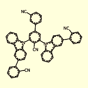 N#Cc1cccc(-c2cc(-n3c4ccccc4c4cc(-c5ccccc5C#N)ccc43)c(C#N)c(-n3c4ccccc4c4cc(-c5ccccc5C#N)ccc43)c2)c1